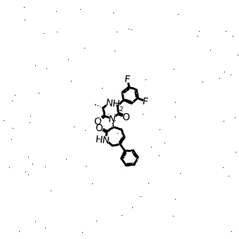 C[C@H](N)C(=O)N(C(=O)Cc1cc(F)cc(F)c1)[C@H]1CC=C(c2ccccc2)CNC1=O